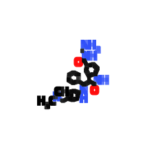 CN(C)Cc1ccc(N/C(=C2\C(=O)Nc3ccc(C(=O)NCN)cc32)c2ccccc2)cc1